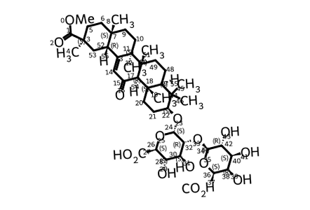 COC(=O)[C@@]1(C)CC[C@]2(C)CC[C@]3(C)C(=CC(=O)[C@@H]4[C@@]5(C)CC[C@H](O[C@H]6O[C@H](C(=O)O)[C@@H](O)[C@H](O)[C@H]6O[C@@H]6O[C@H](C(=O)O)[C@H](O)[C@H](O)[C@H]6O)C(C)(C)[C@@H]5CC[C@]43C)[C@@H]2C1